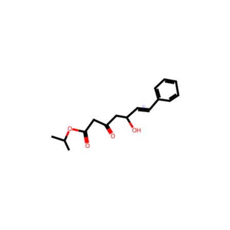 CC(C)OC(=O)CC(=O)CC(O)/C=C/c1ccccc1